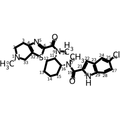 CN1CCc2nc(C(=O)N(C)[C@H]3CCCC[C@H]3N(C)C(=O)c3cc4cc(Cl)ccc4[nH]3)sc2C1